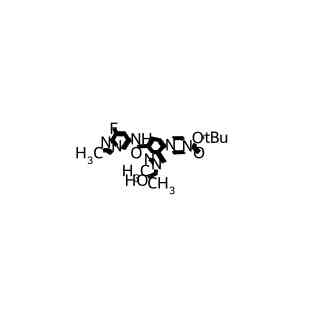 Cc1cn2cc(NC(=O)c3ccc(N4CCN(C(=O)OC(C)(C)C)CC4)c4cn(CC(C)(C)O)nc34)cc(F)c2n1